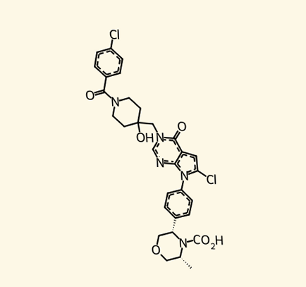 C[C@@H]1COC[C@H](c2ccc(-n3c(Cl)cc4c(=O)n(CC5(O)CCN(C(=O)c6ccc(Cl)cc6)CC5)cnc43)cc2)N1C(=O)O